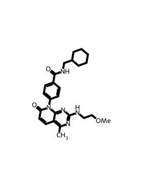 COCCNc1nc(C)c2ccc(=O)n(-c3ccc(C(=O)NCC4CCCCC4)cc3)c2n1